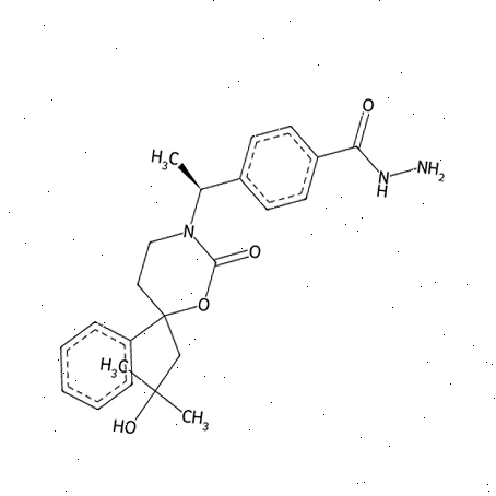 C[C@@H](c1ccc(C(=O)NN)cc1)N1CCC(CC(C)(C)O)(c2ccccc2)OC1=O